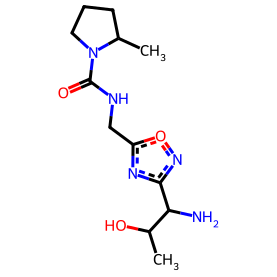 CC(O)C(N)c1noc(CNC(=O)N2CCCC2C)n1